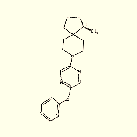 C[C@@H]1CCCC12CCN(c1cnc(Sc3ccncc3)cn1)CC2